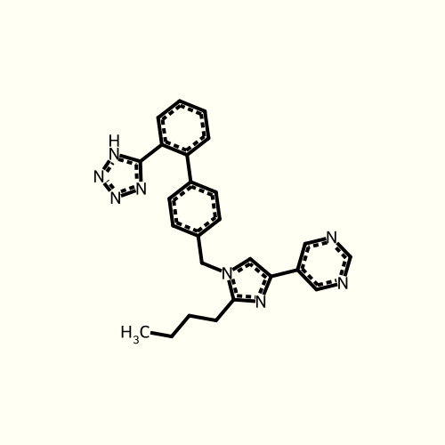 CCCCc1nc(-c2cncnc2)cn1Cc1ccc(-c2ccccc2-c2nnn[nH]2)cc1